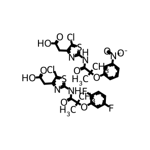 CC(C)(Oc1cc(F)ccc1F)C(=O)Nc1nc(CC(=O)O)c(Cl)s1.CC(C)(Oc1cccc([N+](=O)[O-])c1)C(=O)Nc1nc(CC(=O)O)c(Cl)s1